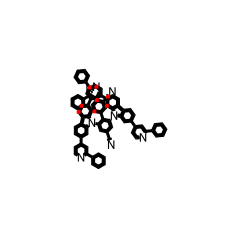 N#Cc1cccc(-c2c(-n3c4cc(-c5ccnc(-c6ccccc6)c5)ccc4c4ccc(-c5ccnc(-c6ccccc6)c5)cc43)cc(C#N)cc2-n2c3cc(-c4ccnc(-c5ccccc5)c4)ccc3c3ccc(-c4ccnc(-c5ccccc5)c4)cc32)c1